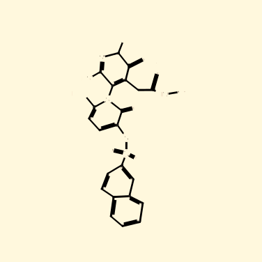 C=C1C(CC(=O)NO)=C(n2c(C)ccc(NS(=O)(=O)c3ccc4ccccc4c3)c2=O)C(N)=NC1C